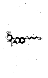 O=C(O)CC1C(=O)NC2=Nc3ccc(OCCCCO)cc3CN21